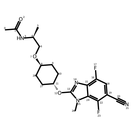 CC(=O)N[C@@H](C)CO[C@H]1CC[C@H](Oc2nc3c(F)cc(C#N)c(F)c3n2C)CC1